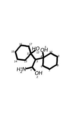 NC(O)C(C1(O)CCCCC1)C1(O)CCCCC1